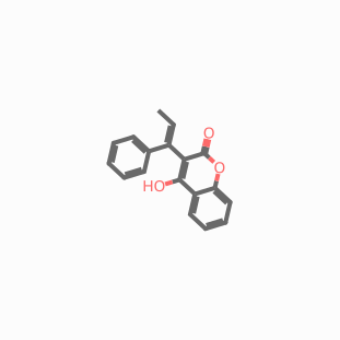 CC=C(c1ccccc1)c1c(O)c2ccccc2oc1=O